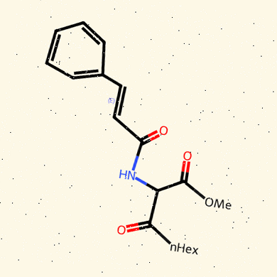 CCCCCCC(=O)C(NC(=O)/C=C/c1ccccc1)C(=O)OC